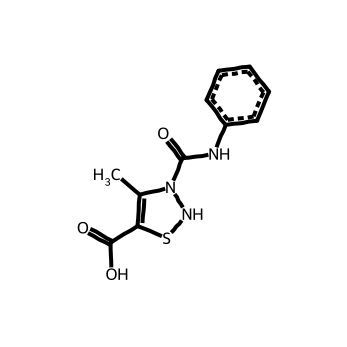 CC1=C(C(=O)O)SNN1C(=O)Nc1ccccc1